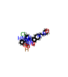 COc1cc2c(cc1Nc1ncc(Cl)c(N[C@@H]3CCCC[C@@H]3CN[SH](=O)=O)n1)CCN(CCN1CCOCC1)CC2